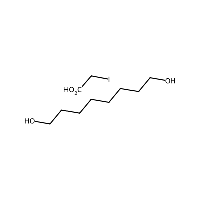 O=C(O)CI.OCCCCCCCCO